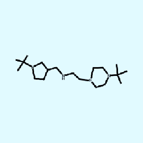 CC(C)(C)N1CCN(CCNCC2CCN(C(C)(C)C)C2)CC1